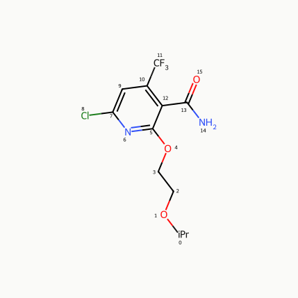 CC(C)OCCOc1nc(Cl)cc(C(F)(F)F)c1C(N)=O